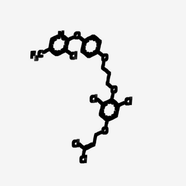 FC(F)(F)c1cnc(Oc2ccc(OCCCOc3c(Cl)cc(OCC=C(Cl)Cl)cc3Cl)cc2)c(Cl)c1